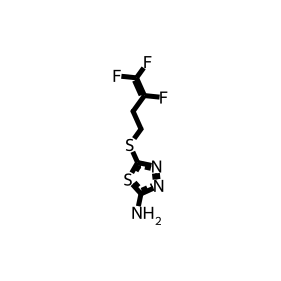 Nc1nnc(SCCC(F)=C(F)F)s1